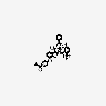 Cc1c(-c2cccc(OC3CCN(C(=O)C4CC4)CC3)c2F)c(=O)n(C[C@H](N)c2ccccc2)c(=O)n1Cc1c(F)cccc1C(F)(F)F